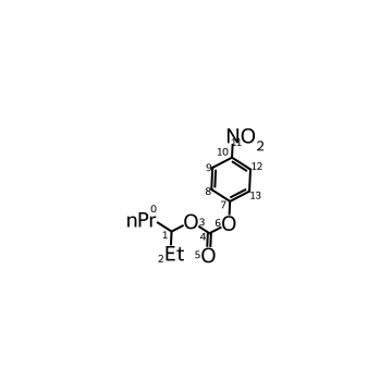 CCCC(CC)OC(=O)Oc1ccc([N+](=O)[O-])cc1